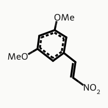 COc1cc(C=C[N+](=O)[O-])cc(OC)c1